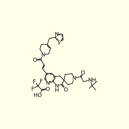 CC(C)(C)NCC(=O)N1CCC2(CC1)Cc1cc(C=CC(=O)N3CC=C(Cc4nccs4)CC3)cnc1NC2=O.O=C(O)C(F)(F)F